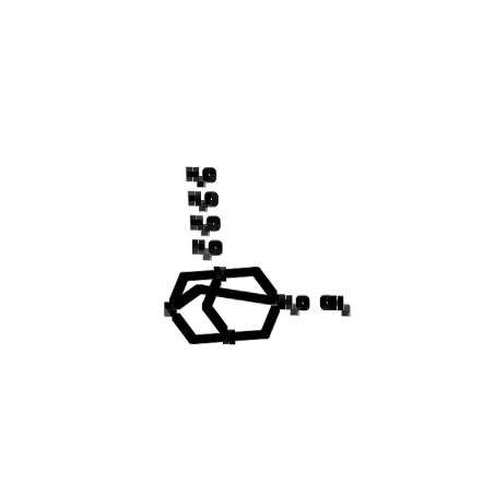 C1N2CN3CN1CN(C2)C3.O.O.O.O.O.O